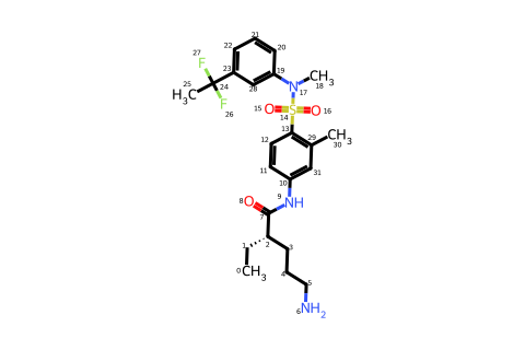 CC[C@@H](CCCN)C(=O)Nc1ccc(S(=O)(=O)N(C)c2cccc(C(C)(F)F)c2)c(C)c1